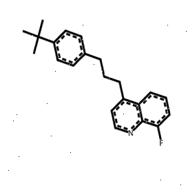 CC(C)(C)c1ccc(CCCc2ccnc3c(F)cccc23)cc1